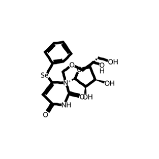 O=C1C=C([Se]c2ccccc2)[N+](COCCO)([C@@H]2O[C@H](CO)[C@@H](O)[C@H]2O)C(=O)N1